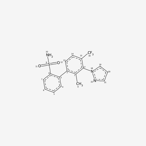 Cc1c(-c2ccccc2S(N)(=O)=O)ccc(C(F)(F)F)c1-n1cccn1